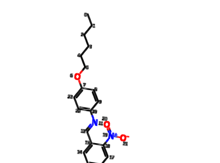 CCCCCCOc1ccc(/N=C/c2ccccc2[N+](=O)[O-])cc1